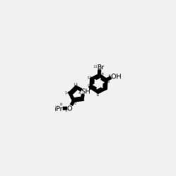 CC(C)OC1=C[SH](c2ccc(O)c(Br)c2)C=C1